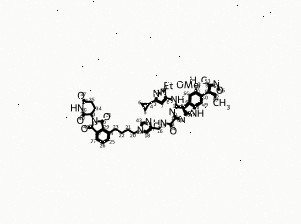 CCn1nc(C2CC2)cc1Nc1nc(C(=O)NCc2cn(CCCCc3cccc4c3C(=O)N(C3CCC(=O)NC3=O)C4=O)cn2)nc2[nH]c3cc(-c4c(C)noc4C)c(OC)cc3c12